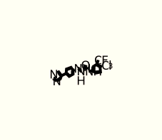 O=C(NNc1ccc(-c2cncnc2)cc1)Nc1ccc(Cl)c(C(F)(F)F)c1